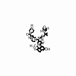 CCc1c(F)ccc2cc(O)cc(-c3ncc4c(N5CCCn6nc(C(=O)N7CCNCC7)cc6C5)nc(OCC5(CN6C[C@H]7C[C@@H]6CO7)CC5)nc4c3F)c12